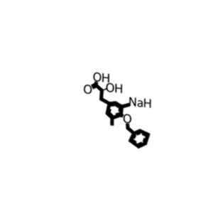 Cc1cc(C[C@@H](O)C(=O)O)cc(C)c1OCc1ccccc1.[NaH]